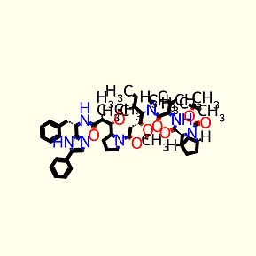 CC[C@H](C)[C@@H]([C@@H](CC(=O)N1CCCC1[C@H](OC)[C@@H](C)C(=O)N[C@@H](Cc1ccccc1)c1ncc(-c2ccccc2)[nH]1)OC)N(C)C(=O)C(NC(=O)[C@@H]1[C@H]2CC[C@H](C2)N1C(=O)OC(C)(C)C)C(C)C